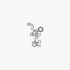 C[C@H](NP(=O)(OC[C@H]1C(=O)[C@H]2CCN1C2)Oc1ccccc1)C(=O)OCC(C)(C)C